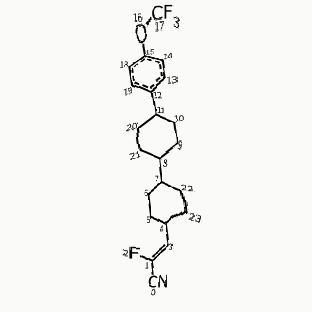 N#CC(F)=CC1CCC(C2CCC(c3ccc(OC(F)(F)F)cc3)CC2)CC1